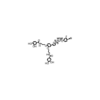 N#Cc1ccc(OP(=O)(O)CNS(=O)(=O)c2ccc(-c3ccc(OCCCNC(=O)c4ccc(O)c(O)c4)c(OCCCNC(=O)c4ccc(O)c(O)c4)c3)s2)cc1F